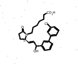 O=C(O)CCCCCCN1C(=O)CC[C@@H]1C=CC(O)c1cccc(-c2cccc(Cl)c2)c1